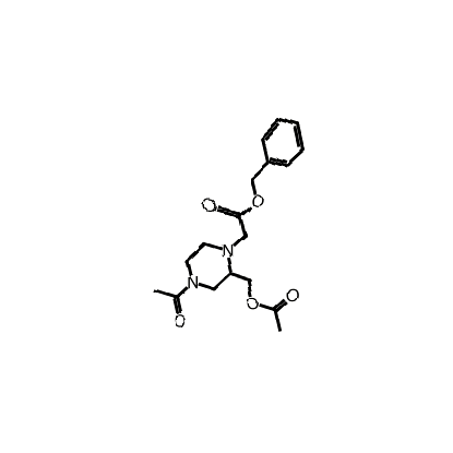 CC(=O)OCC1CN(C(C)=O)CCN1CC(=O)OCc1ccccc1